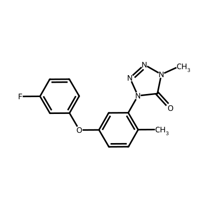 Cc1ccc(Oc2cccc(F)c2)cc1-n1nnn(C)c1=O